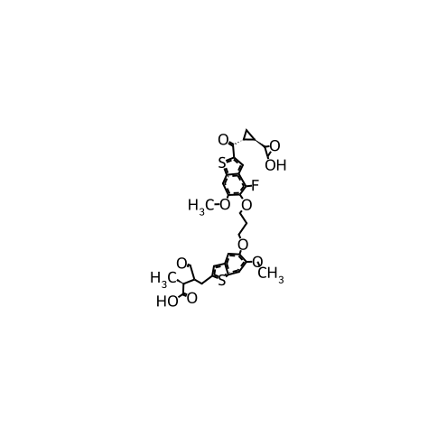 COc1cc2sc(CC(C=O)[C@H](C)C(=O)O)cc2cc1OCCCOc1c(OC)cc2sc(C(=O)[C@@H]3C[C@H]3C3OC3O)cc2c1F